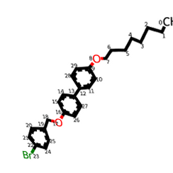 CCCCCCCCOc1ccc(-c2ccc(OCc3ccc(Br)cc3)cc2)cc1